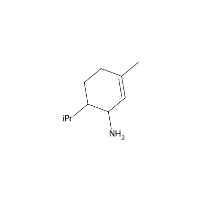 CC1=CC(N)C(C(C)C)CC1